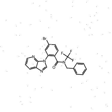 O=C(c1ccc(Br)cc1-n1cnc2cccnc21)N(Cc1ccccc1)C(F)(F)F